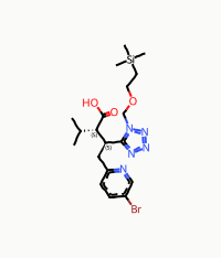 CC(C)[C@H](C(=O)O)[C@H](Cc1ccc(Br)cn1)c1nnnn1COCC[Si](C)(C)C